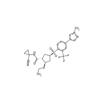 CCO[C@@H]1C[C@H](S(=O)(=O)c2ccc(-c3cnn(C)c3)cc2C(F)(F)F)C[C@H]1C(=O)NC1(C#N)CC1